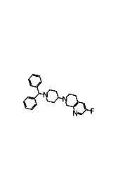 Fc1cnc2c(c1)CCN(C1CCN(C(c3ccccc3)c3ccccc3)CC1)C2